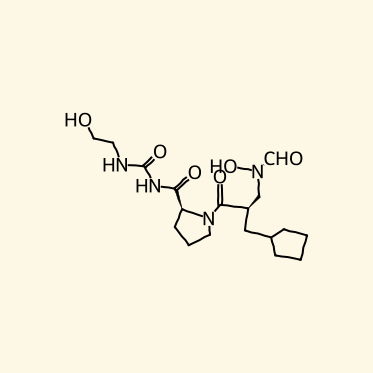 O=CN(O)C[C@@H](CC1CCCC1)C(=O)N1CCC[C@H]1C(=O)NC(=O)NCCO